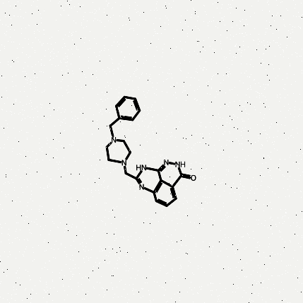 O=c1[nH]nc2c3c(cccc13)N=C(CN1CCN(Cc3ccccc3)CC1)N2